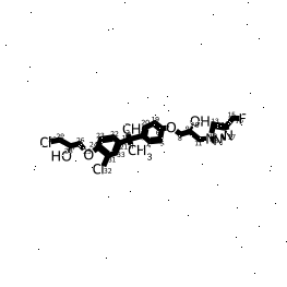 CC(C)(c1ccc(OC[C@@H](O)Cn2cc(CF)nn2)cc1)c1ccc(OC[C@H](O)CCl)c(Cl)c1